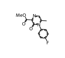 COC(=O)c1ncc(C)n(-c2ccc(F)cc2)c1=O